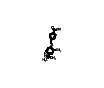 Cc1cc(C(C)(C)C)ccc1SCc1ccc(C(=O)O)cc1